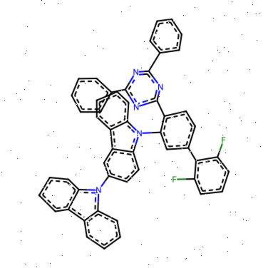 Fc1cccc(F)c1-c1ccc(-c2nc(-c3ccccc3)nc(-c3ccccc3)n2)c(-n2c3ccccc3c3cc(-n4c5ccccc5c5ccccc54)ccc32)c1